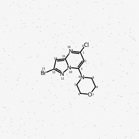 Clc1cc(N2CCOCC2)n2nc(Br)cc2n1